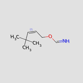 CC(C)(C)/C=C\COC=N